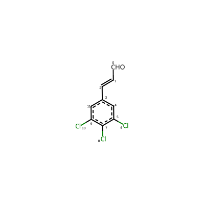 O=C/C=C/c1cc(Cl)c(Cl)c(Cl)c1